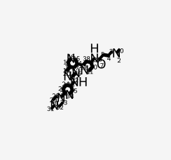 CN(C)C/C=C/C(=O)Nc1ccnc(-c2cncc3cnc(Nc4ccc(N5CCN(C)CC5)nc4)nc23)c1